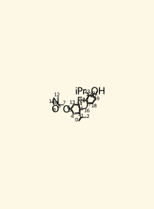 C=C(C)c1cc(OCC(=O)N(C)C)ccc1Cc1ccc(O)c(C(C)C)c1F